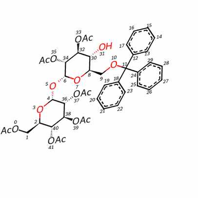 CC(=O)OC[C@H]1O[C@H](O[C@H]2O[C@H](COC(c3ccccc3)(c3ccccc3)c3ccccc3)[C@@H](O)[C@H](OC(C)=O)[C@H]2OC(C)=O)[C@H](OC(C)=O)[C@@H](OC(C)=O)[C@@H]1OC(C)=O